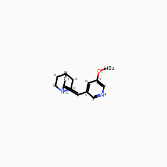 CC(C)(C)Oc1cncc(/C=C2\CC3CCN2CC3)c1